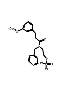 CCCCCCCCCCOc1cccc(CCC(=O)N(CCOP(=O)(O)O)Cc2ccncc2)c1